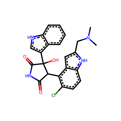 CN(C)Cc1cc2c(C3C(=O)NC(=O)C3(O)c3c[nH]c4ccccc34)c(Cl)ccc2[nH]1